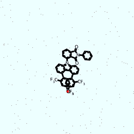 O=C1c2cccc(-n3c4cccc(-c5ccc(C(F)(F)F)cc5C(F)(F)F)c4c4c(-c5ccc(C(F)(F)F)cc5C(F)(F)F)cccc43)c2C(=O)N1c1ccccc1